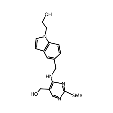 CSc1ncc(CO)c(NCc2ccc3c(ccn3CCO)c2)n1